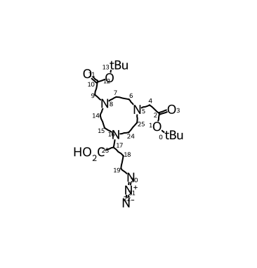 CC(C)(C)OC(=O)CN1CCN(CC(=O)OC(C)(C)C)CCN(C(CCN=[N+]=[N-])C(=O)O)CC1